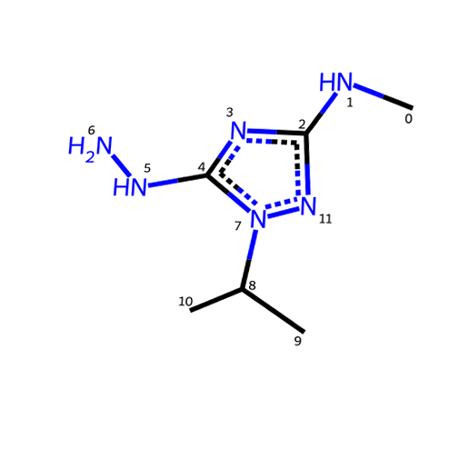 CNc1nc(NN)n(C(C)C)n1